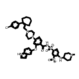 CN1CCC(Nc2ccc(S(=O)(=O)NC(=O)c3ccc(N4CCN(CC5=C(c6ccc(Cl)cc6)CCCCC5)CC4)cc3Oc3ccc4[nH]ccc4c3)cc2[N+](=O)[O-])CC1